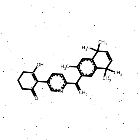 C=C(c1ccc(C2=C(O)CCCC2=O)cn1)c1cc2c(cc1C)C(C)(C)C=CC2(C)C